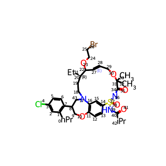 CCCc1cc(Cl)ccc1C1COc2ccc3cc2N(CC[C@@H](CC)C(OCCBr)/C=C/COC(C)(C)C(=O)N=S3(=O)NC(=O)C(C)C)C1